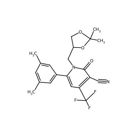 Cc1cc(C)cc(-c2cc(C(F)(F)F)c(C#N)c(=O)n2CC2COC(C)(C)O2)c1